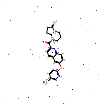 O=C1CCC2N1CCCN2C(=O)c1ccc2cc(Oc3ccc(C(F)(F)F)cn3)ccc2n1